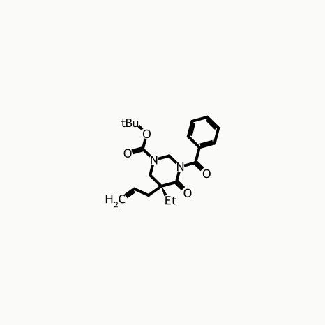 C=CC[C@]1(CC)CN(C(=O)OC(C)(C)C)CN(C(=O)c2ccccc2)C1=O